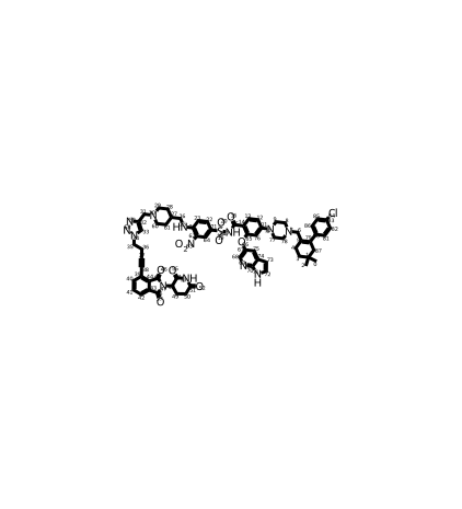 CC1(C)CCC(CN2CCN(c3ccc(C(=O)NS(=O)(=O)c4ccc(NCC5CCN(Cc6cn(CCC#Cc7cccc8c7C(=O)N(C7CCC(=O)NC7=O)C8=O)nn6)CC5)c([N+](=O)[O-])c4)c(Oc4cnc5[nH]ccc5c4)c3)CC2)=C(c2ccc(Cl)cc2)C1